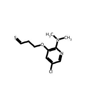 CN(C)c1ncc(Cl)cc1OCCC=S